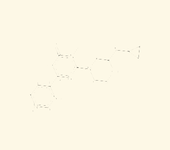 Cn1c(N2CCOC(CC3CC3)C2)nc(-c2ccncn2)cc1=O